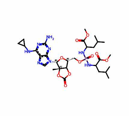 COC(=O)C(CC(C)C)NP(=O)(NC(CC(C)C)C(=O)OC)OC[C@H]1O[C@@H](n2cnc3c(NC4CC4)nc(N)nc32)[C@@]2(C)OC(=O)OC12